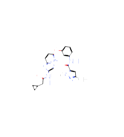 Cc1cc(C(=O)Nc2cccc(Oc3ccc4nc(NC(=O)CC5CC5)cn4n3)c2)n(C)n1